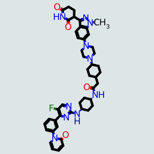 Cn1nc(C2CCC(=O)NC2=O)c2ccc(N3CCN(C4CCC(CC(=O)N[C@H]5CC[C@H](Nc6ncc(F)c(-c7cccc(-n8ccccc8=O)c7)n6)CC5)CC4)CC3)cc21